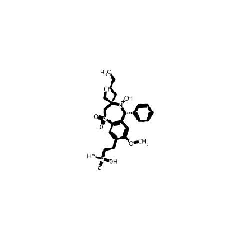 CCCC[C@]1(CC)CS(=O)(=O)c2cc(CCP(=O)(O)O)c(OC)cc2[C@@H](c2ccccc2)N1O